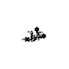 CC1CC(NC(=O)C(Cc2ccccc2)NC(=O)C(N)Cc2ccccc2)C(=O)N1C(CCCCN)C(=O)N1CC2=C(CNC2)C1